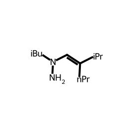 CCC/C(=C\N(N)C(C)CC)C(C)C